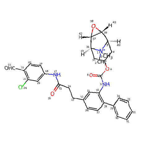 C[N+]1(C)[C@@H]2CC(OC(=O)Nc3cc(CCC(=O)Nc4ccc(C=O)c(Cl)c4)ccc3-c3ccccc3)C[C@H]1[C@@H]1O[C@@H]12